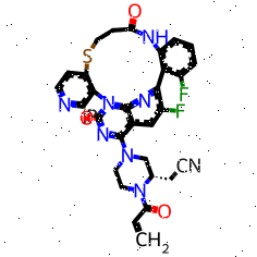 C=CC(=O)N1CCN(c2nc(=O)n3c4nc(c(F)cc24)-c2c(F)cccc2NC(=O)CCSc2ccnc(C(C)C)c2-3)C[C@@H]1CC#N